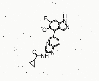 COc1c(F)cc2[nH]ncc2c1-c1ccc2nc(NC(=O)C3CC3)cn2c1